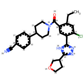 CCc1cc(Cl)c(-c2nnc(C3CCOC3)[nH]2)cc1C(=O)N1CCC(c2ccc(C#N)cc2)CC1